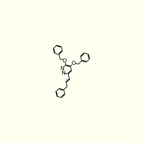 C(=C\c1cc(OCc2ccccc2)c(OCc2ccccc2)nn1)/Cc1ccccc1